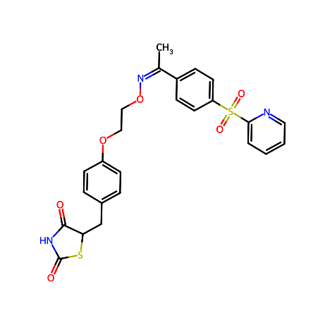 CC(=NOCCOc1ccc(CC2SC(=O)NC2=O)cc1)c1ccc(S(=O)(=O)c2ccccn2)cc1